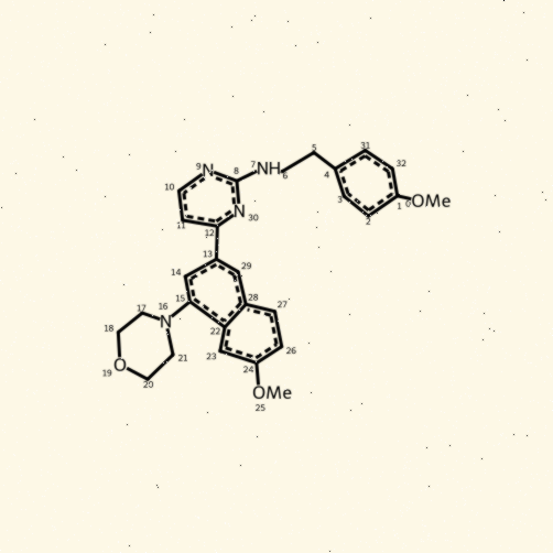 COc1ccc(CCNc2nccc(-c3cc(N4CCOCC4)c4cc(OC)ccc4c3)n2)cc1